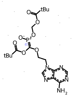 CC(C)(C)C(=O)OCO/[P+]([O-])=C(\OCCn1cnc2c(N)ncnc21)OC(=O)C(C)(C)C